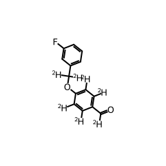 [2H]C(=O)c1c([2H])c([2H])c(OC([2H])([2H])c2cccc(F)c2)c([2H])c1[2H]